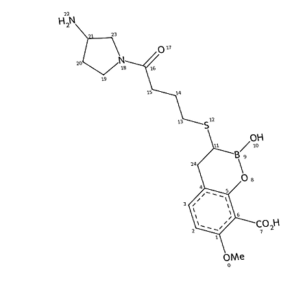 COc1ccc2c(c1C(=O)O)OB(O)C(SCCCC(=O)N1CCC(N)C1)C2